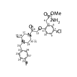 COP(N)(=O)Cc1cc(Cl)ccc1OCC(=O)N1C[C@H](C)N(Cc2ccc(F)cc2)C[C@H]1C